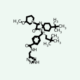 COC1CCCN(C2=NC3(CCC(C(C)(C)C)CC3)N([C@H](CCC(C)(C)C)c3ccc(C(=O)NCc4nn[nH]n4)cc3)C2=O)C1